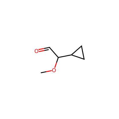 COC(C=O)C1CC1